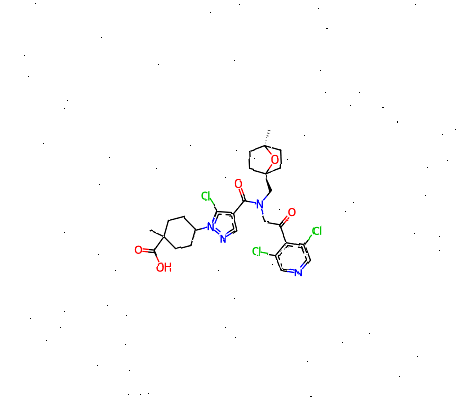 CC1(C(=O)O)CCC(n2ncc(C(=O)N(CC(=O)c3c(Cl)cncc3Cl)C[C@]34CC[C@@](C)(CC3)O4)c2Cl)CC1